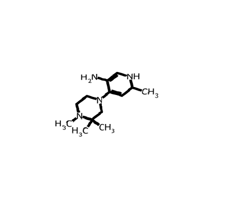 CC1C=C(N2CCN(C)C(C)(C)C2)C(N)=CN1